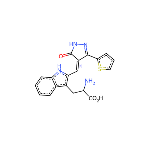 NC(Cc1c(/C=C2\C(=O)NN=C2c2cccs2)[nH]c2ccccc12)C(=O)O